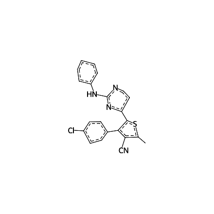 Cc1sc(-c2ccnc(Nc3ccccc3)n2)c(-c2ccc(Cl)cc2)c1C#N